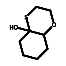 OC12CCCCC1OCCS2